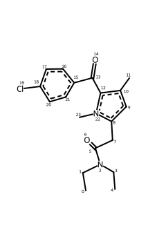 CCN(CC)C(=O)Cc1cc(C)c(C(=O)c2ccc(Cl)cc2)n1C